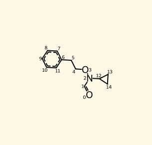 O=CN(OCCc1ccccc1)C1CC1